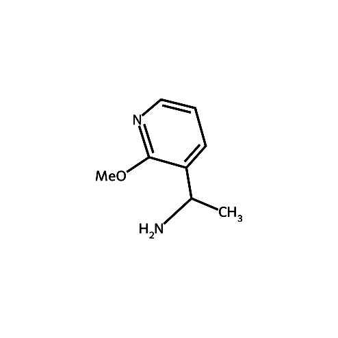 COc1ncccc1C(C)N